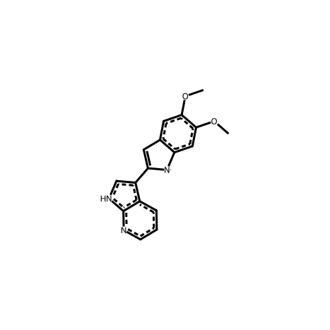 COc1cc2c(cc1OC)[N]C(c1c[nH]c3ncccc13)=C2